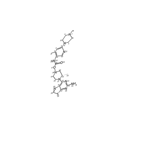 Cc1cc(N2CCN(C)CC2)ncc1NC(=O)ON1CCN(c2nc(N)nc3scnc23)[C@@H](C)C1